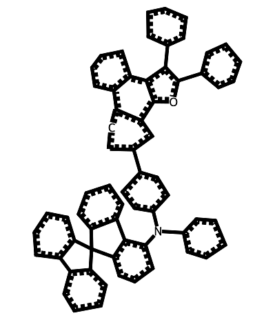 c1ccc(-c2oc3c4cc(-c5ccc(N(c6ccccc6)c6cccc7c6-c6ccccc6C76c7ccccc7-c7ccccc76)cc5)ccc4c4ccccc4c3c2-c2ccccc2)cc1